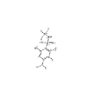 Cc1c(C(C)C)cc(Cl)c(S(=O)(=O)NC(C)(C)C)c1Cl